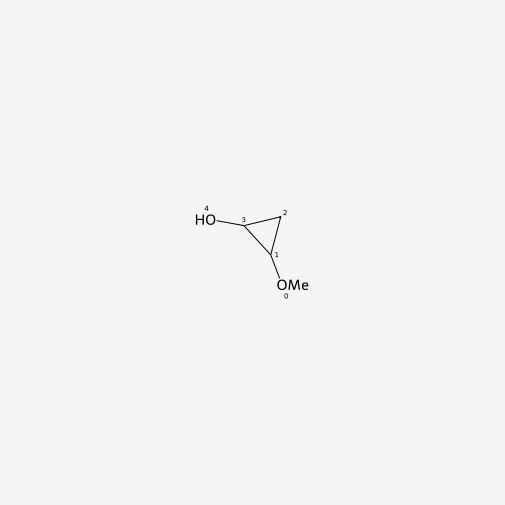 COC1CC1O